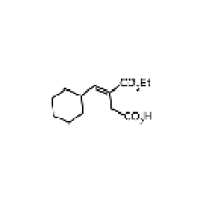 CCOC(=O)C(=CC1CCCCC1)CC(=O)O